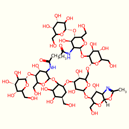 CC(=O)NC1[C@H](OC2C(O)[C@H](O)[C@H](CO)C[C@@H]2O[C@@H]2C(O)[C@H](O[C@@H]3C(CO)O[C@H]4OC(C)=NC4[C@H]3O)OC(CO[C@H]3OC(CO)[C@@H](O)[C@H](O)C3O[C@@H]3OC(CO)[C@@H](O[C@@H]4OC(CO)[C@H](O)[C@H](O)C4O)[C@H](O)C3NC(C)=O)[C@H]2O)OC(CO)[C@@H](O[C@@H]2OC(CO)[C@H](O)[C@H](O)C2O)[C@@H]1O